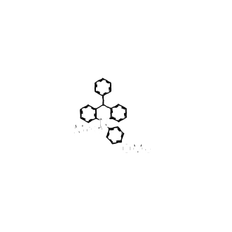 COc1ccc([N+]2(OC)c3ccccc3C(c3ccccc3)c3ccccc32)cc1